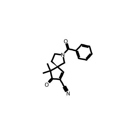 CC1(C)C(=O)C(C#N)=C[C@]12CCN(C(=O)c1ccccc1)C2